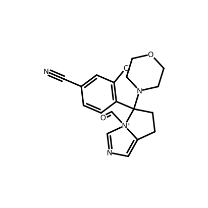 N#Cc1ccc(C2(N3CCOCC3)CCC3=CN=C[N+]32C=O)c(Cl)c1